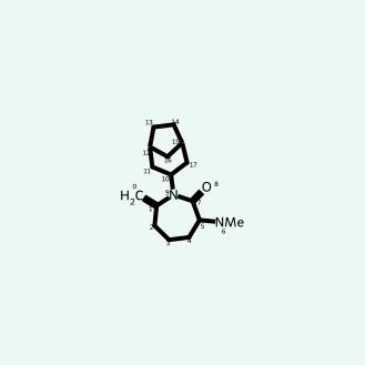 C=C1CCCC(NC)C(=O)N1C1CC2CCC(C2)C1